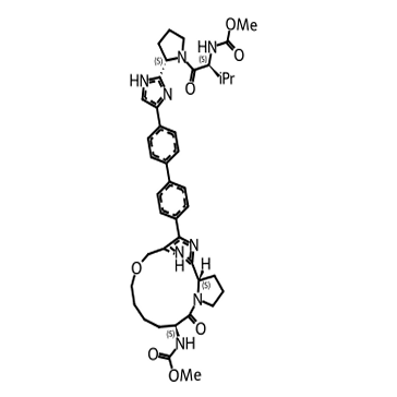 COC(=O)N[C@H]1CCCCOCc2[nH]c(nc2-c2ccc(-c3ccc(-c4c[nH]c([C@@H]5CCCN5C(=O)[C@@H](NC(=O)OC)C(C)C)n4)cc3)cc2)[C@@H]2CCCN2C1=O